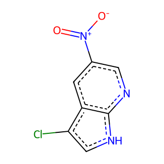 O=[N+]([O-])c1cnc2[nH]cc(Cl)c2c1